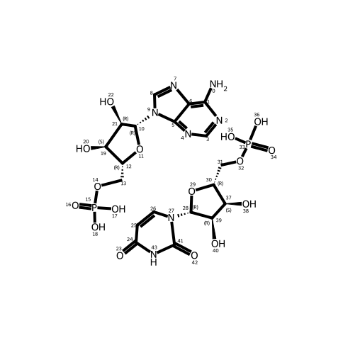 Nc1ncnc2c1ncn2[C@@H]1O[C@H](COP(=O)(O)O)[C@@H](O)[C@H]1O.O=c1ccn([C@@H]2O[C@H](COP(=O)(O)O)[C@@H](O)[C@H]2O)c(=O)[nH]1